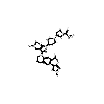 CC(=O)N1CCc2c(c(N3CCCc4cc(-c5cnn(C)c5)c(C(F)F)cc43)nn2C2CCN([C@H]3CCN(C(=O)OC(C)(C)C)C3)CC2)C1